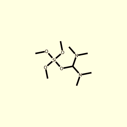 CO[Si](OC)(OC)OC(N(C)C)N(C)C